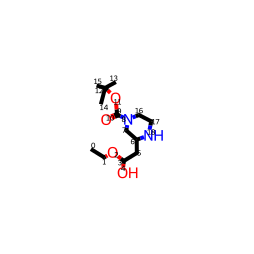 CCOC(O)CC1CN(C(=O)OC(C)(C)C)CCN1